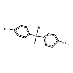 Cc1ccc([Si](F)(Br)c2ccc(C)cc2)cc1